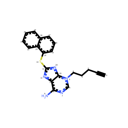 C#CCCCn1cnc(N)c2nc(Sc3cccc4ccccc34)nc1-2